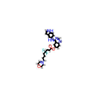 O=C(C=CC(F)(F)CCCCN1CCOCC1)Oc1ccc2ncnc(Nc3ccc4[nH]ccc4c3)c2c1